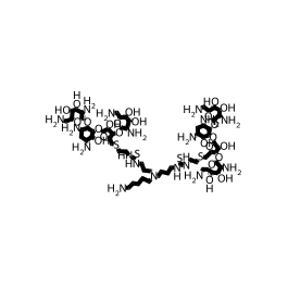 NCCCCCN(CCCCNC(=S)NCCSCC1OC(OC2C(O)[C@H](N)CC(N)[C@H]2O[C@H]2OC(CN)[C@@H](O)C(O)C2N)C(O)C1O[C@H]1OC(CN)[C@@H](O)C(O)C1N)CCCNC(=S)NCCSCC1O[C@@H](OC2C(O)[C@H](N)CC(N)[C@H]2O[C@@H]2OC(CN)[C@@H](O)C(O)C2N)C(O)C1O[C@H]1OC(CN)[C@H](O)[C@H](O)C1N